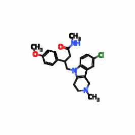 CNC(=O)CC(Cn1c2c(c3cc(Cl)ccc31)CN(C)CC2)c1ccc(OC)cc1